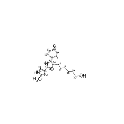 Cc1nc(-c2nc(-c3ccc(Cl)cc3)c(CCCCCCO)o2)c[nH]1